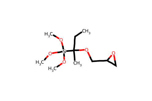 CCC(C)(OCC1CO1)[Si](OC)(OC)OC